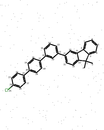 CC1(C)c2ccccc2-c2cc(-c3cccc(-c4ccc(-c5ccc(Cl)cc5)cc4)c3)ccc21